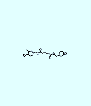 CC1CC(COC(=O)CCCCC(=O)C2CC2CC2CCC3OC3C2)CCC1C1CC1